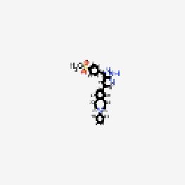 CS(=O)(=O)c1ccc(-c2n[nH]c3ncc(-c4ccc5c(c4)CCN(C4CCCC4)CC5)cc23)cc1